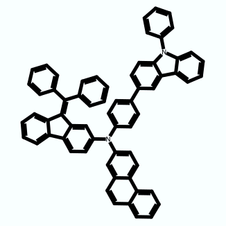 c1ccc(C(=C2c3ccccc3-c3ccc(N(c4ccc(-c5ccc6c(c5)c5ccccc5n6-c5ccccc5)cc4)c4ccc5c(ccc6ccccc65)c4)cc32)c2ccccc2)cc1